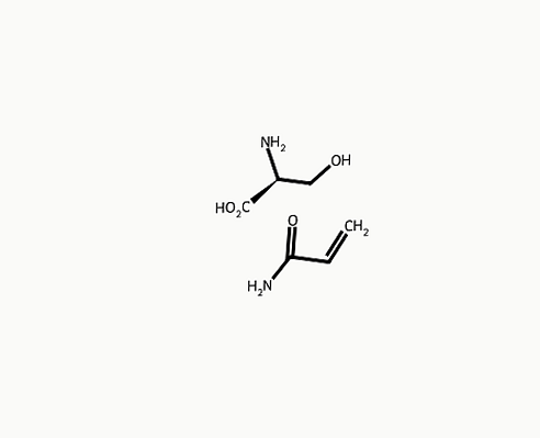 C=CC(N)=O.N[C@@H](CO)C(=O)O